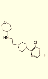 Fc1cnc(C2CCC(CCNC3CCOCC3)CC2)c(Cl)c1